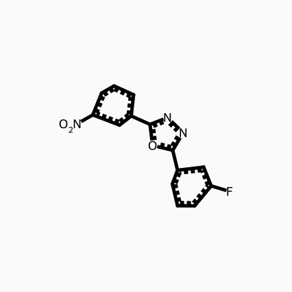 O=[N+]([O-])c1cccc(-c2nnc(-c3cccc(F)c3)o2)c1